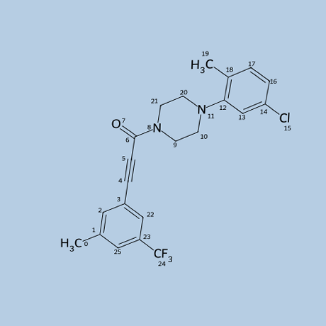 Cc1cc(C#CC(=O)N2CCN(c3cc(Cl)ccc3C)CC2)cc(C(F)(F)F)c1